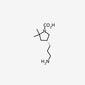 CC1(C)C[C@@H](CCCN)CN1C(=O)O